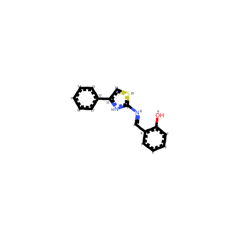 Oc1ccccc1/C=N/c1nc(-c2ccccc2)cs1